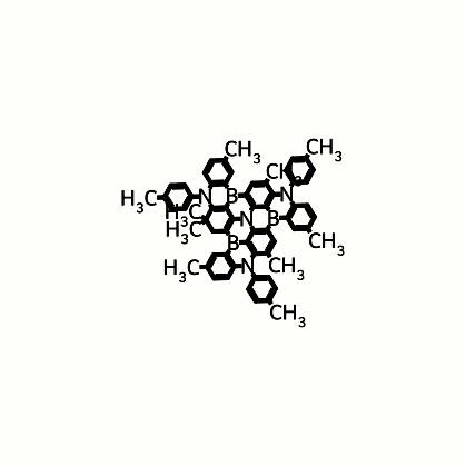 Cc1ccc(N2C3=C4B(c5cc(C)ccc52)c2cc(C)c5c6c2N2C4=C(CC3(C)C)B3c4cc(C)ccc4N(c4ccc(C)cc4)c4c(C)cc(c2c43)B6c2cc(C)ccc2N5c2ccc(C)cc2)cc1